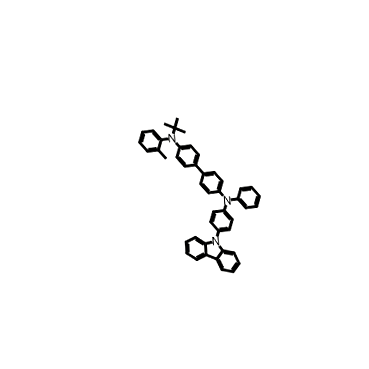 Cc1ccccc1N(c1ccc(-c2ccc(N(c3ccccc3)c3ccc(-n4c5ccccc5c5ccccc54)cc3)cc2)cc1)C(C)(C)C